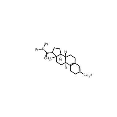 CC(C)N(C(=O)[C@H]1CC[C@H]2[C@@H]3CCC4=C(CCC(C(=O)O)=C4)[C@H]3CC[C@]12C)C(C)C